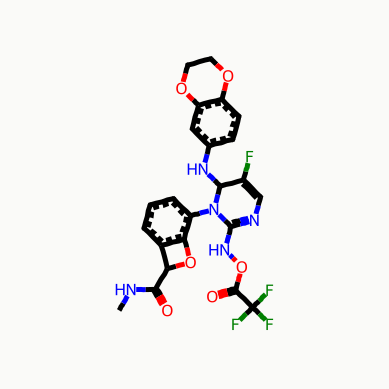 CNC(=O)C1Oc2c1cccc2N1C(NOC(=O)C(F)(F)F)=NC=C(F)C1Nc1ccc2c(c1)OCCO2